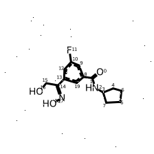 O=C(NC1CCCC1)c1cc(F)cc(C(CO)=NO)c1